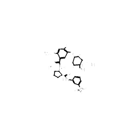 COc1cc(F)c(O[C@H]2CC[C@@](C)(C(=O)O)CC2)cc1C(=O)N[C@H]1[C@@H](C(=O)Nc2cccc(S(=O)(=O)C(F)(F)F)c2)CC[C@@H]1O